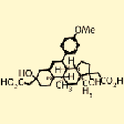 COc1ccc(C2C=C3CC(O)(CC(=O)O)CC[C@]3(C)[C@H]3CC[C@@]4(C)[C@@H](CCC4(O)CC(=O)O)[C@H]23)cc1